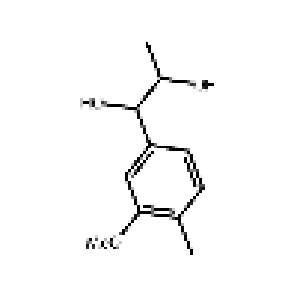 COc1cc(C(O)C(C)O)ccc1C